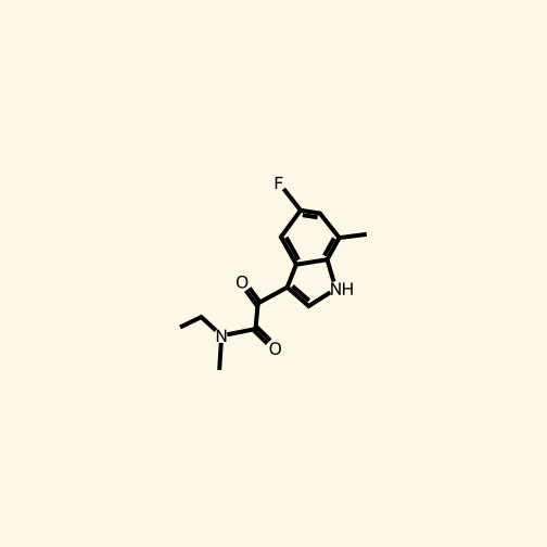 CCN(C)C(=O)C(=O)c1c[nH]c2c(C)cc(F)cc12